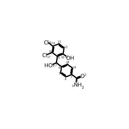 NC(=O)c1ccc(C(O)c2c(O)ccc(Cl)c2Cl)cc1